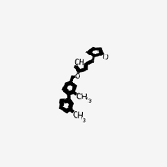 CC=C(CCC[C@H]1CCCC1=O)OCc1ccc(-c2cccc(C)c2)c(C)c1